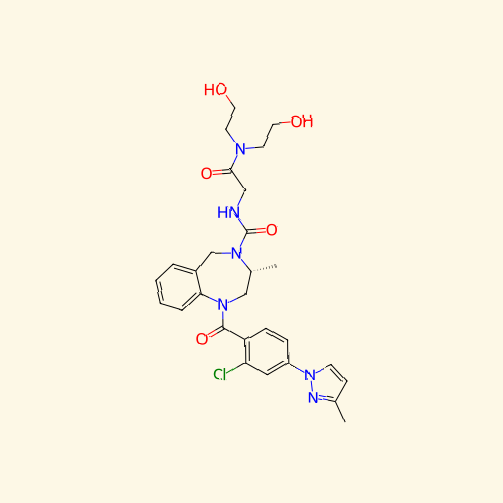 Cc1ccn(-c2ccc(C(=O)N3C[C@@H](C)N(C(=O)NCC(=O)N(CCO)CCO)Cc4ccccc43)c(Cl)c2)n1